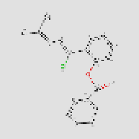 N#CC(C#N)=C/C=C(\Cl)c1ccccc1OC(=O)c1ccccc1